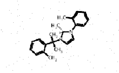 Cc1ccccc1N1C=CN(C(C)(C)c2ccccc2C)[C@@H]1C